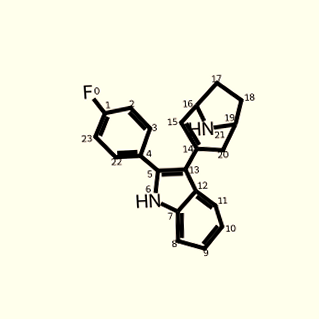 Fc1ccc(-c2[nH]c3ccccc3c2C2=CC3CCC(C2)N3)cc1